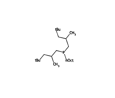 CCCCCCCCP(CC(C)CC(C)(C)C)CC(C)CC(C)(C)C